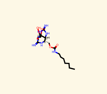 CCCCCCCNC(=O)OC[C@@H]1NC(=N)N2CCC(O)(O)[C@@]23NC(=N)N[C@@H]13